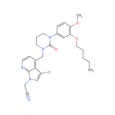 CCCCCOc1cc(N2CCCN(Cc3ccnc4c3c(Cl)cn4CC#N)C2=O)ccc1OC